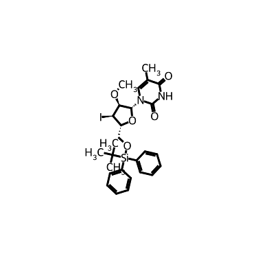 CO[C@@H]1[C@H](I)[C@@H](CO[Si](c2ccccc2)(c2ccccc2)C(C)(C)C)O[C@H]1n1cc(C)c(=O)[nH]c1=O